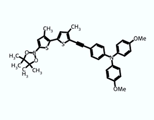 COc1ccc(N(c2ccc(C#Cc3sc(-c4sc(B5OC(C)(C)C(C)(C)O5)cc4C)cc3C)cc2)c2ccc(OC)cc2)cc1